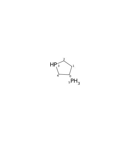 C1CCPC1.P